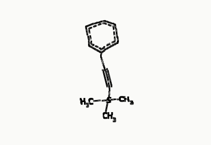 CS(C)(C)C#Cc1ccccc1